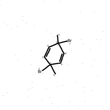 CC1(Br)C=CC(C)(Br)C=C1